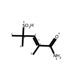 C/C(=C\C(C)(C)S(=O)(=O)O)C(N)=O